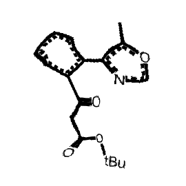 Cc1ocnc1-c1ccccc1C(=O)CC(=O)OC(C)(C)C